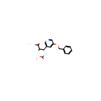 COC(=O)C(C)[C@H](NC(O)OC(C)(C)C)c1cncc(OCc2ccccc2)c1